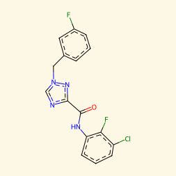 O=C(Nc1cccc(Cl)c1F)c1ncn(Cc2cccc(F)c2)n1